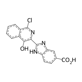 O=C(O)c1ccc2[nH]c(-c3nc(Cl)c4ccccc4c3O)nc2c1